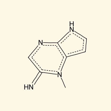 Cn1c(=N)cnc2[nH]ccc21